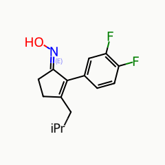 CC(C)CC1=C(c2ccc(F)c(F)c2)/C(=N/O)CC1